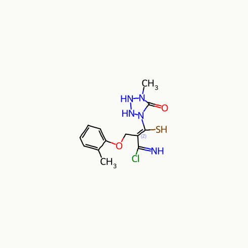 Cc1ccccc1OC/C(C(=N)Cl)=C(/S)N1NNN(C)C1=O